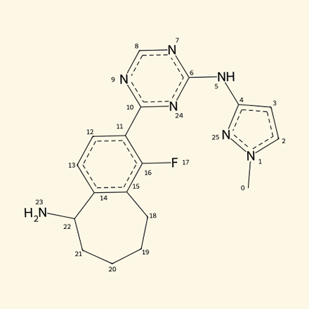 Cn1ccc(Nc2ncnc(-c3ccc4c(c3F)CCCCC4N)n2)n1